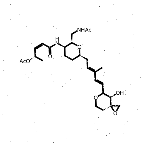 CC(=O)NC[C@H]1O[C@@H](C/C=C(C)/C=C/C2OCC[C@@]3(CO3)[C@@H]2O)CC[C@H]1NC(=O)/C=C\[C@H](C)OC(C)=O